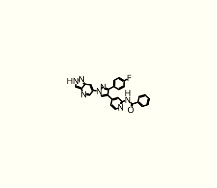 O=C(Nc1cc(-c2cn(-c3cnc4c[nH]nc4c3)nc2-c2ccc(F)cc2)ccn1)c1ccccc1